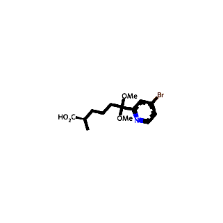 COC(CCC[C@@H](C)C(=O)O)(OC)c1cc(Br)ccn1